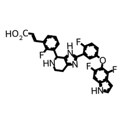 O=C(O)/C=C/c1cccc(C2NCCc3nc(-c4cc(Oc5c(F)cc6[nH]ccc6c5F)ccc4F)[nH]c32)c1F